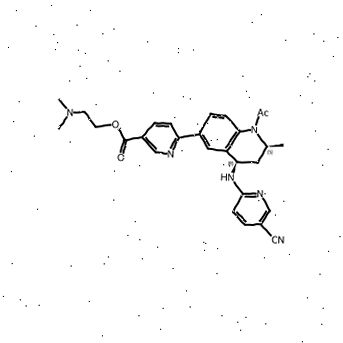 CC(=O)N1c2ccc(-c3ccc(C(=O)OCCN(C)C)cn3)cc2[C@H](Nc2ccc(C#N)cn2)C[C@@H]1C